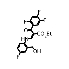 CCOC(=O)C(=CNc1ccc(F)cc1CO)C(=O)c1cc(F)c(F)cc1F